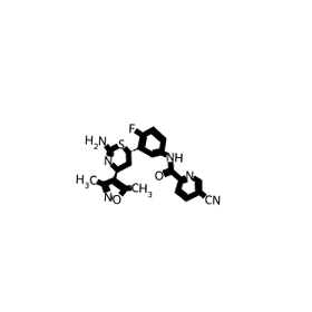 Cc1noc(C)c1[C@@H]1C[C@@H](c2cc(NC(=O)c3ccc(C#N)cn3)ccc2F)SC(N)=N1